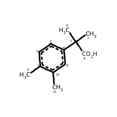 Cc1ccc(C(C)(C)C(=O)O)cc1C